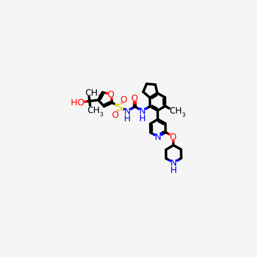 Cc1cc2c(c(NC(=O)NS(=O)(=O)c3cc(C(C)(C)O)co3)c1-c1ccnc(OC3CCNCC3)c1)CCC2